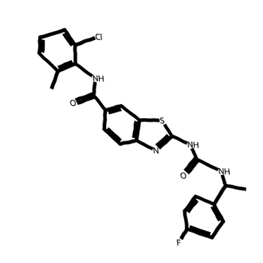 Cc1cccc(Cl)c1NC(=O)c1ccc2nc(NC(=O)NC(C)c3ccc(F)cc3)sc2c1